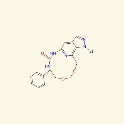 CCn1ncc2cc3nc(c21)CCCOCC(c1ccccc1)NC(=O)N3